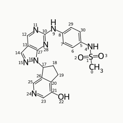 CS(=O)(=O)Nc1ccc(Nc2ncc3cnn(C4CCc5c(O)cncc54)c3n2)cc1